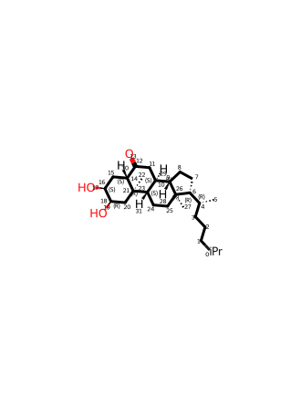 CC(C)CCC[C@@H](C)[C@H]1CC[C@H]2[C@@H]3CC(=O)[C@H]4C[C@H](O)[C@H](O)C[C@]4(C)[C@H]3CC[C@]12C